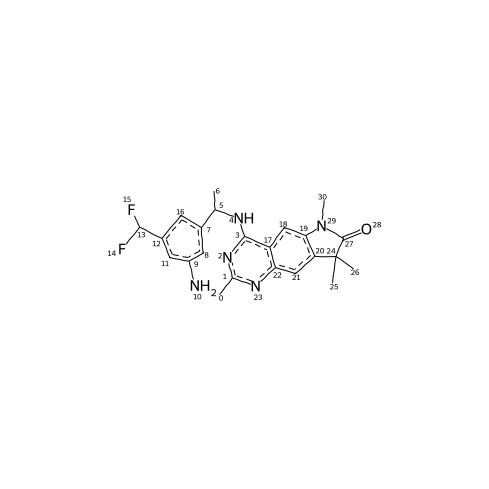 Cc1nc(NC(C)c2cc(N)cc(C(F)F)c2)c2cc3c(cc2n1)C(C)(C)C(=O)N3C